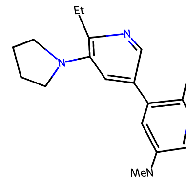 CCc1ncc(-c2cc(NC)cnc2C)cc1N1CCCC1